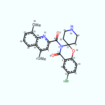 COc1cc(C(=O)N2C(=O)c3cc(Br)ccc3OC23CCNCC3)nc2c(OC)cccc12